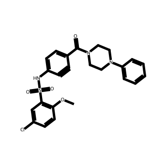 COc1ccc(Cl)cc1S(=O)(=O)Nc1c#cc(C(=O)N2CCN(c3ccccc3)CC2)cc1